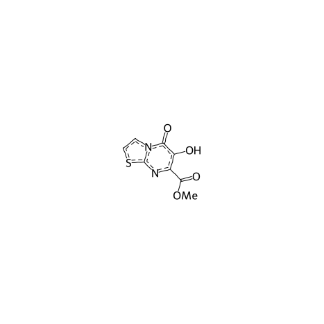 COC(=O)c1nc2sccn2c(=O)c1O